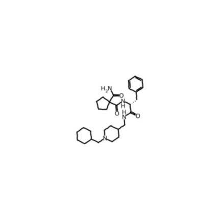 NC(=O)C1(C(=O)N[C@H](Cc2ccccc2)C(=O)NCC2CCN(CC3CCCCC3)CC2)CCCC1